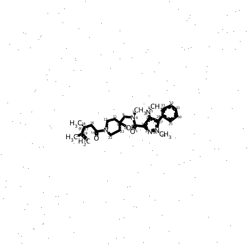 C=Nc1c(C(=O)N(C)CC2(O)CCN(C(=O)C[C@@H](C)C(=C)C)CC2)nn(C)c1-c1ccccc1